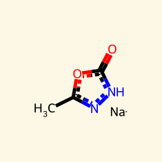 Cc1n[nH]c(=O)o1.[Na]